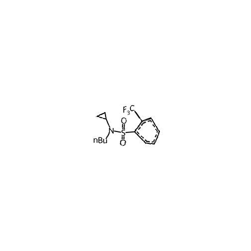 C[CH]CCN(C1CC1)S(=O)(=O)c1ccccc1C(F)(F)F